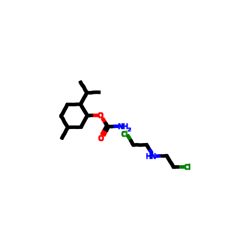 CC1CCC(C(C)C)C(OC(N)=O)C1.ClCCNCCCl